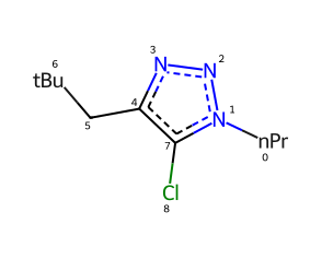 CCCn1nnc(CC(C)(C)C)c1Cl